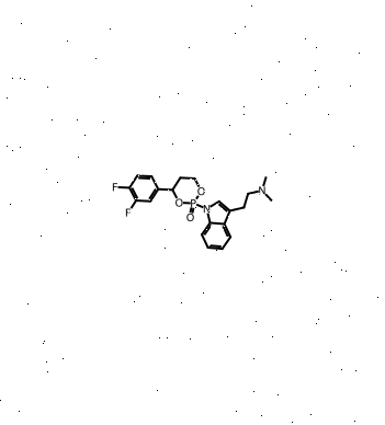 CN(C)CCc1cn(P2(=O)OCCC(c3ccc(F)c(F)c3)O2)c2ccccc12